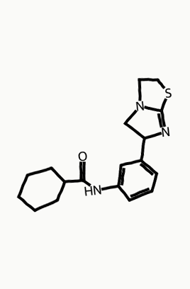 O=C(Nc1cccc(C2CN3CCSC3=N2)c1)C1CCCCC1